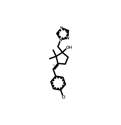 CC1(C)/C(=C/c2ccc(Cl)cc2)CCC1(O)Cn1cncn1